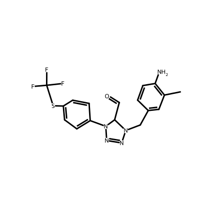 Cc1cc(CN2N=NN(c3ccc(SC(F)(F)F)cc3)C2C=O)ccc1N